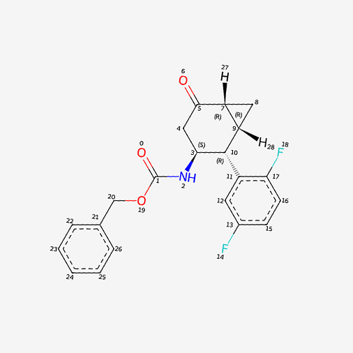 O=C(N[C@H]1CC(=O)[C@@H]2C[C@@H]2[C@@H]1c1cc(F)ccc1F)OCc1ccccc1